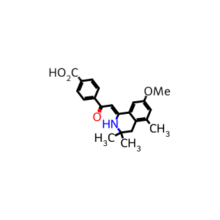 COc1cc(C)c2c(c1)C(=CC(=O)c1ccc(C(=O)O)cc1)NC(C)(C)C2